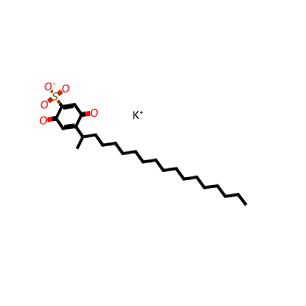 CCCCCCCCCCCCCCCCC(C)C1=CC(=O)C(S(=O)(=O)[O-])=CC1=O.[K+]